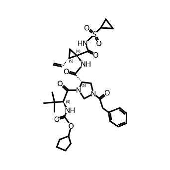 C=C[C@@H]1C[C@]1(NC(=O)[C@@H]1CN(C(=O)Cc2ccccc2)CN1C(=O)[C@@H](NC(=O)OC1CCCC1)C(C)(C)C)C(=O)NS(=O)(=O)C1CC1